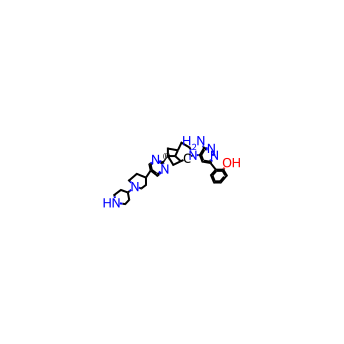 Nc1nnc(-c2ccccc2O)cc1N1CCC2C[C@@]3(c4ncc(C5CCN(C6CCNCC6)CC5)cn4)CC(C1)C23